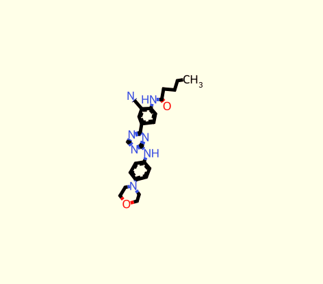 CCCCC(=O)Nc1ccc(-c2ncnc(Nc3ccc(N4CCOCC4)cc3)n2)cc1C#N